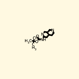 CC(C)(C)OC(=O)Nc1cc2ccncc2cn1